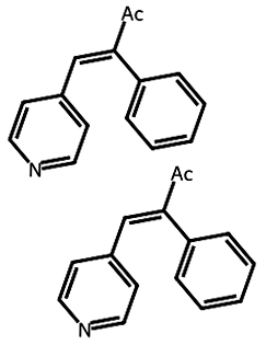 CC(=O)C(=Cc1ccncc1)c1ccccc1.CC(=O)C(=Cc1ccncc1)c1ccccc1